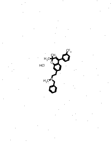 CN(CCc1ccc2c(c1)OC(C)(C)C=C2c1cccc(C(F)(F)F)c1)Cc1ccccc1.Cl